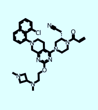 C=CC(=O)N1CCN(c2nc(OCCN(C)C3CN(C)C3)nc3c2CCN(c2cccc4cccc(Cl)c24)C3)C[C@@H]1CC#N